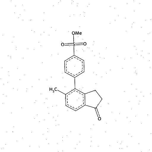 COS(=O)(=O)c1ccc(-c2c(C)ccc3c2CCC3=O)cc1